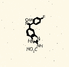 CON=C(c1ccc(F)cc1)c1ccc2[nH]c(NC(=O)O)nc2c1